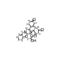 O=C(O)COc1ccccc1CN1CCN(c2ccc(Cl)cc2Cl)C(c2ccc(Cl)cc2)C1